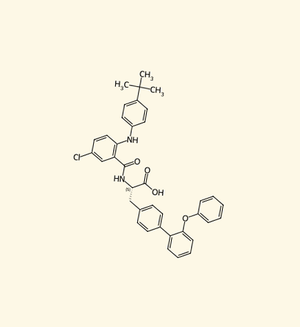 CC(C)(C)c1ccc(Nc2ccc(Cl)cc2C(=O)N[C@@H](Cc2ccc(-c3ccccc3Oc3ccccc3)cc2)C(=O)O)cc1